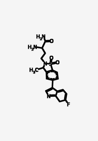 CC1c2cc(C3=CN=C4CC(F)=CC=C34)ccc2S(=O)(=O)N1CCC(N)C(N)=O